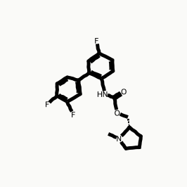 CN1CCC[C@H]1COC(=O)Nc1ccc(F)cc1-c1ccc(F)c(F)c1